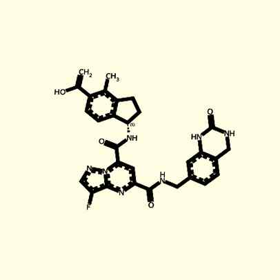 C=C(O)c1ccc2c(c1C)CC[C@@H]2NC(=O)c1cc(C(=O)NCc2ccc3c(c2)NC(=O)NC3)nc2c(F)cnn12